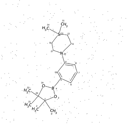 CC1(C)OB(c2cccc(N3CC[Si](C)(C)CC3)c2)OC1(C)C